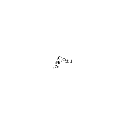 [Cd].[Cr].[Cu].[Ni].[Zn]